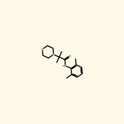 Cc1cccc(C)c1NC(=O)C(C)(C)N1CCOCC1